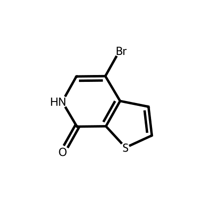 O=c1[nH]cc(Br)c2ccsc12